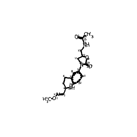 CON=CC1CCc2cc(N3CC(CNC(C)=O)OC3=O)ccc2N1